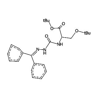 CC(C)(C)OCC(NC(=O)NN=C(c1ccccc1)c1ccccc1)C(=O)OC(C)(C)C